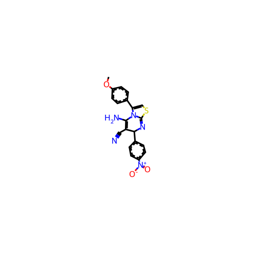 COc1ccc(C2=CSC3=NC(c4ccc([N+](=O)[O-])cc4)C(C#N)=C(N)N23)cc1